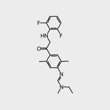 CCN(C)C=Nc1cc(C)c(C(=O)CNc2c(F)cccc2F)cc1C